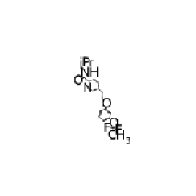 CC(C)CNC(=O)c1ccc(CCOc2cccc(OC(C)(F)F)c2)cn1